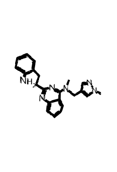 CN(Cc1cnn(C)c1)c1nc(CCc2ccccc2N)nc2ccccc12